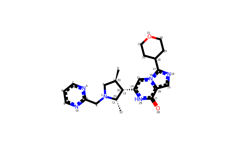 C[C@@H]1CN(Cc2ncccn2)[C@@H](C)[C@H]1c1cn2c(C3CCOCC3)ncc2c(=O)[nH]1